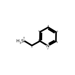 [SiH3]Cc1ccccn1